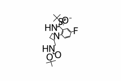 CC(C)(C)OC(=O)NCC1CCN1c1ccc(F)cc1C(=N)[S@+]([O-])C(C)(C)C